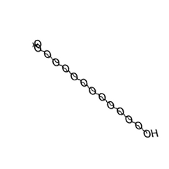 C=C(C)C(=O)OCCCCOCCCCOCCCCOCCCCOCCCCOCCCCOCCCCOCCCCOCCCCOCCCCOCCCCOCCCCO